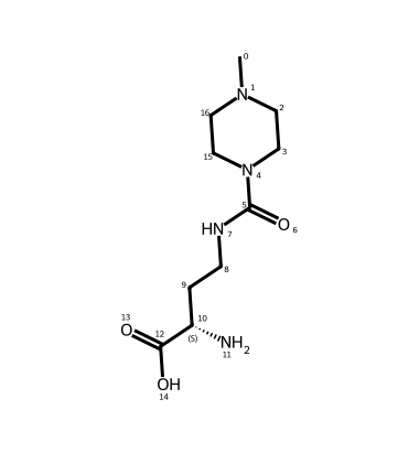 CN1CCN(C(=O)NCC[C@H](N)C(=O)O)CC1